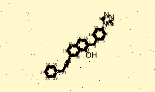 Oc1c(Cc2ccc(-n3cnnn3)cc2)ccc2ccc(C#CCc3ccccc3)cc12